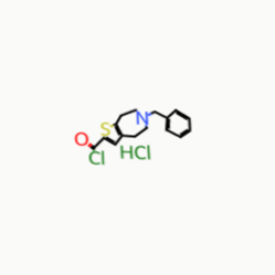 Cl.O=C(Cl)c1cc2c(s1)CCN(Cc1ccccc1)CC2